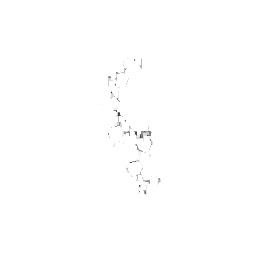 N#Cc1ccc(N2CCC[C@H](N[C@@H]3CCCC[C@H]3Nc3cc(-c4cccc(C(N)=O)c4)ccn3)C2)nc1